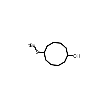 CC(C)(C)SC1CCCCC(O)CCCC1